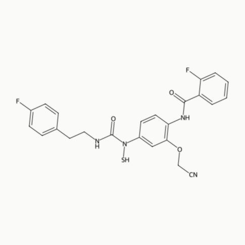 N#CCOc1cc(N(S)C(=O)NCCc2ccc(F)cc2)ccc1NC(=O)c1ccccc1F